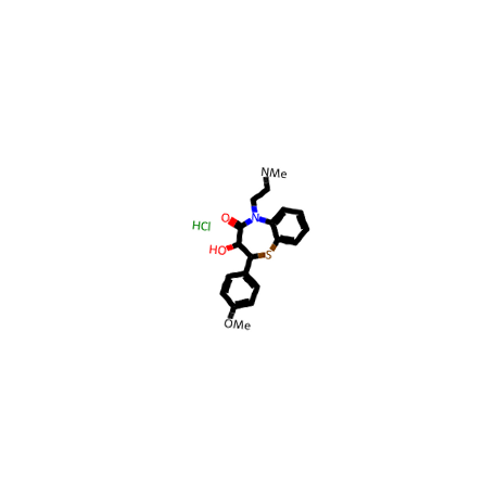 CNCCN1C(=O)C(O)C(c2ccc(OC)cc2)Sc2ccccc21.Cl